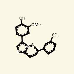 COc1cc(-c2cnc3ccc(-c4cccc(C(F)(F)F)c4)nn23)ccc1O